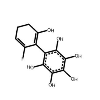 OC1=C(c2c(O)c(O)c(O)c(O)c2O)C(F)=CCC1